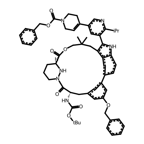 CC(C)c1ncc(C2=CCN(C(=O)OCc3ccccc3)CC2)cc1-c1[nH]c2ccc3cc2c1CC(C)(C)COC(=O)[C@@H]1CCCN(N1)C(=O)[C@@H](NC(=O)OC(C)(C)C)Cc1cc(OCc2ccccc2)cc-3c1